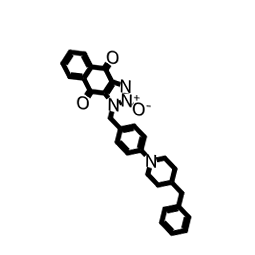 O=C1c2ccccc2C(=O)c2c1n[n+]([O-])n2Cc1ccc(N2CCC(Cc3ccccc3)CC2)cc1